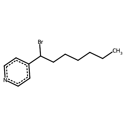 CCCCCCC(Br)c1ccncc1